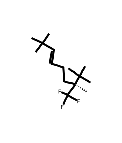 CC(C)(C)/C=C/CC[C@@](C)(C(C)(C)C)C(F)(F)F